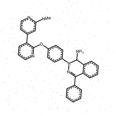 CNc1cc(-c2cccnc2Oc2ccc(N3N=C(c4ccccc4)c4ccccc4C3N)cc2)ccn1